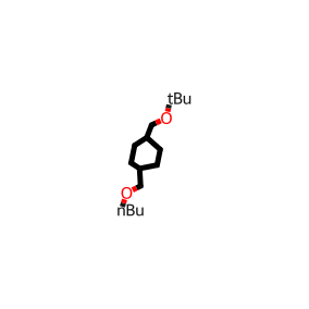 CCCCOCC1CCC(COC(C)(C)C)CC1